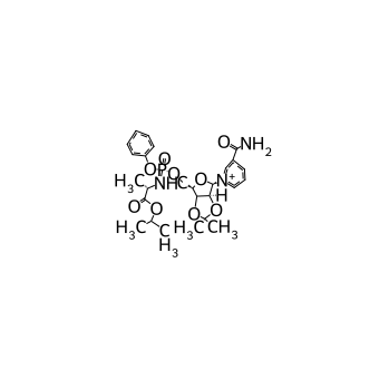 CC(C)OC(=O)[C@H](C)NP(=O)(OC[C@H]1O[C@@H]([n+]2cccc(C(N)=O)c2)[C@H]2OC(C)(C)OC12)Oc1ccccc1